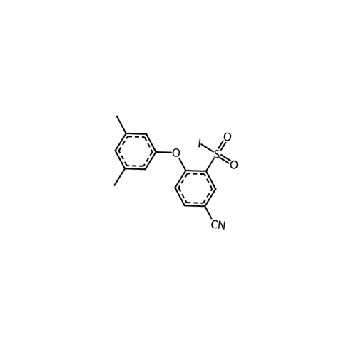 Cc1cc(C)cc(Oc2ccc(C#N)cc2S(=O)(=O)I)c1